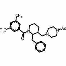 CC(=O)N1CCN(CC2CCCN(C(=O)c3cc(C(F)(F)F)cc(C(F)(F)F)c3)C2Cc2ccccc2)CC1